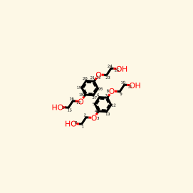 OCCOc1ccc(OCCO)cc1.OCCOc1ccc(OCCO)cc1